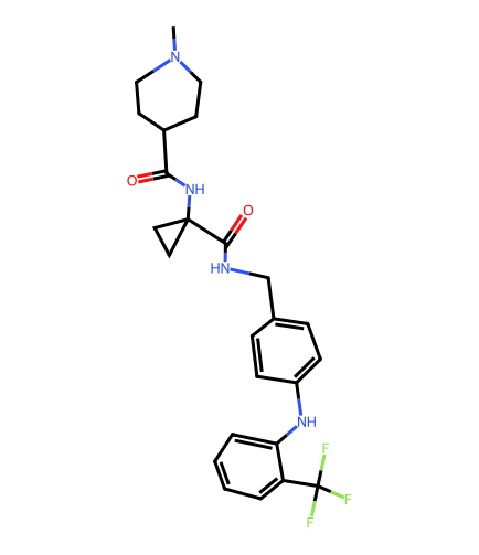 CN1CCC(C(=O)NC2(C(=O)NCc3ccc(Nc4ccccc4C(F)(F)F)cc3)CC2)CC1